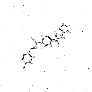 Cc1ccc(CNC(=O)c2ccc(S(=O)(=O)Nc3nccs3)cc2)cc1